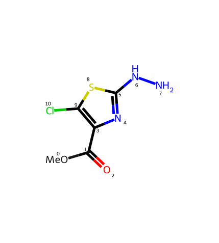 COC(=O)c1nc(NN)sc1Cl